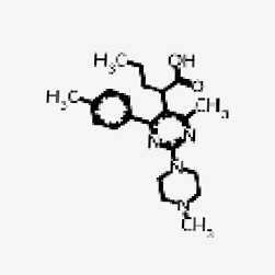 CCCC(C(=O)O)c1c(C)nc(N2CCN(C)CC2)nc1-c1ccc(C)cc1